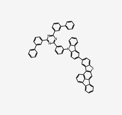 c1ccc(-c2cccc(-c3nc(-c4cccc(-c5ccccc5)c4)nc(-c4cccc(-n5c6ccccc6c6cc(-c7ccc8sc9cc%10c%11c(cccc%11c9c8c7)-c7ccccc7-%10)ccc65)c4)n3)c2)cc1